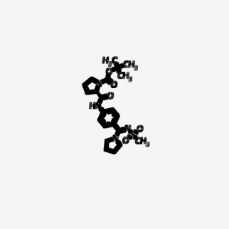 CC(C)(C)OC(=O)N1CCC[C@@H]1C(=O)Nc1ccc(/C(=N/S(C)(=O)=O)N2CCCC2)cc1